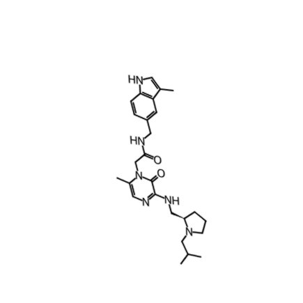 Cc1c[nH]c2ccc(CNC(=O)Cn3c(C)cnc(NC[C@H]4CCCN4CC(C)C)c3=O)cc12